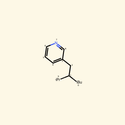 CCC(C)C(Cc1cccnc1)[C](C)C